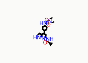 CCN(CC)S(=O)(=O)Nc1ccc(-c2cc(NC(=O)C3CC3)nc3[nH]ccc23)cc1